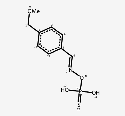 COCc1ccc(C=NOP(O)(O)=S)cc1